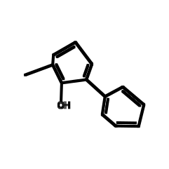 Cc1cccc(-c2ccccc2)c1O